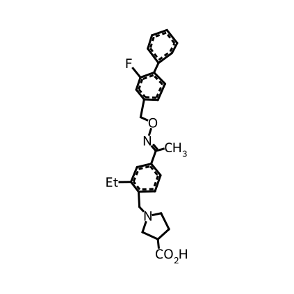 CCc1cc(C(C)=NOCc2ccc(-c3ccccc3)c(F)c2)ccc1CN1CCC(C(=O)O)C1